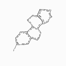 Fc1ccc2c(ccc3c4ccncc4ccc23)c1